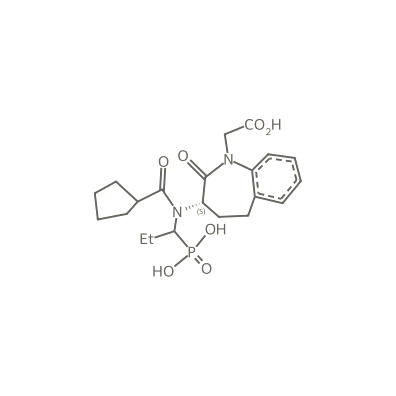 CCC(N(C(=O)C1CCCC1)[C@H]1CCc2ccccc2N(CC(=O)O)C1=O)P(=O)(O)O